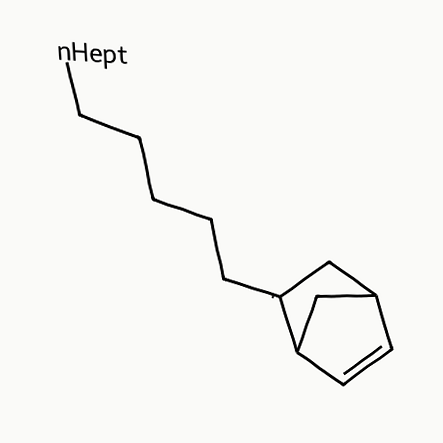 CCCCCCCCCCCC[C]1CC2C=CC1C2